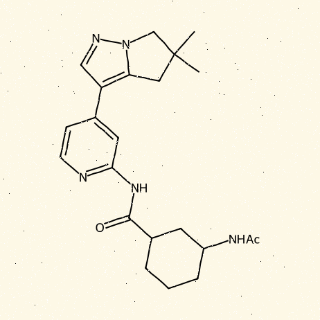 CC(=O)NC1CCCC(C(=O)Nc2cc(-c3cnn4c3CC(C)(C)C4)ccn2)C1